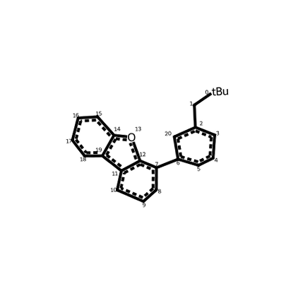 CC(C)(C)Cc1cccc(-c2cccc3c2oc2ccccc23)c1